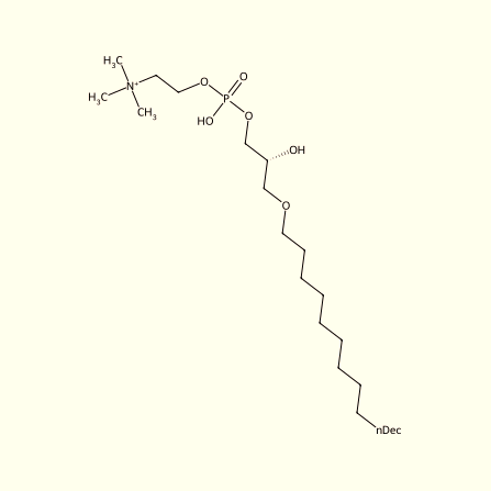 CCCCCCCCCCCCCCCCCCCOC[C@@H](O)COP(=O)(O)OCC[N+](C)(C)C